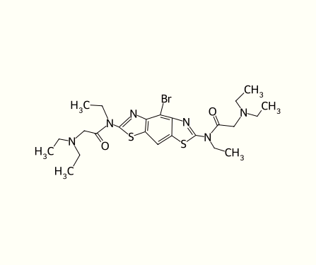 CCN(CC)CC(=O)N(CC)c1nc2c(Br)c3nc(N(CC)C(=O)CN(CC)CC)sc3cc2s1